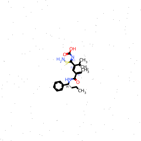 C=C(C)C(=C\C(=C/C)C(=O)N[C@H](CCC)c1ccccc1)/C(=N/C(=O)O)SN